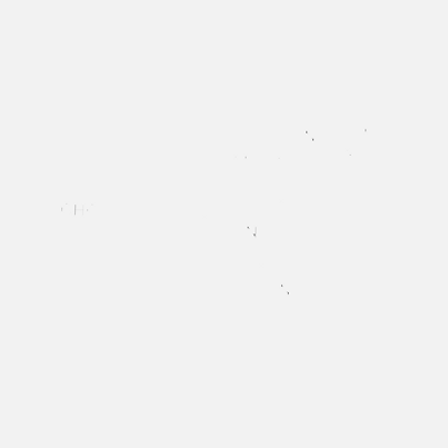 O=Cc1ccc2c(c1)c1cccnc1n2C1CCC(=O)NC1=O